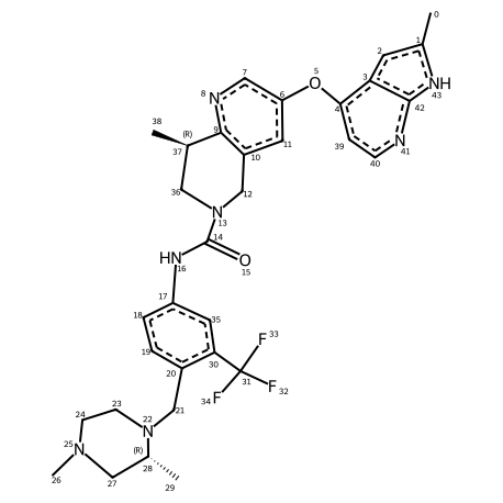 Cc1cc2c(Oc3cnc4c(c3)CN(C(=O)Nc3ccc(CN5CCN(C)C[C@H]5C)c(C(F)(F)F)c3)C[C@H]4C)ccnc2[nH]1